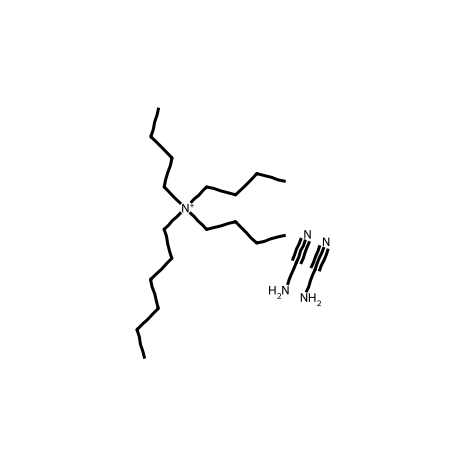 CCCCCC[N+](CCCC)(CCCC)CCCC.N#CN.N#CN